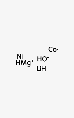 [Co].[LiH].[MgH+].[Ni].[OH-]